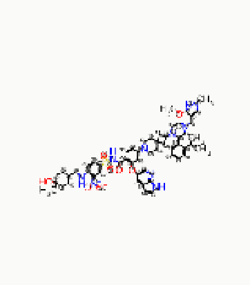 COc1nn(C)cc1CN1CCN(C2CC3(CCN(c4ccc(C(=O)NS(=O)(=O)c5ccc(NCC6CCC(C)(O)CC6)c([N+](=O)[O-])c5)c(Oc5cnc6[nH]ccc6c5)c4)CC3)C2)C(c2ccccc2C(C)C)C1